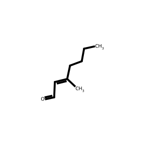 CCCC/C(C)=C/C=O